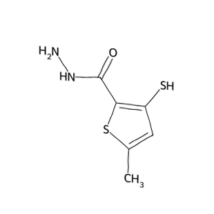 Cc1cc(S)c(C(=O)NN)s1